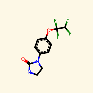 O=C1[N]CCN1c1ccc(OC(F)(F)C(F)F)cc1